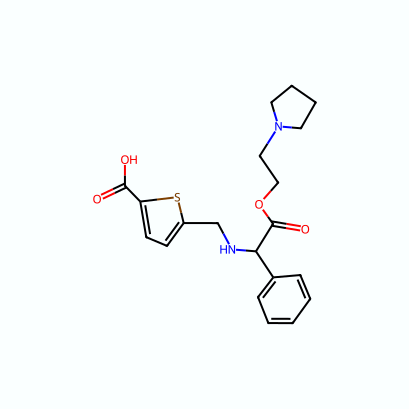 O=C(O)c1ccc(CNC(C(=O)OCCN2CCCC2)c2ccccc2)s1